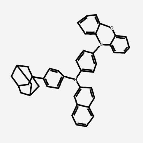 c1ccc2c(c1)Oc1ccccc1N2c1ccc(N(c2ccc(C34CC5CC(CC(C5)C3)C4)cc2)c2ccc3ccccc3c2)cc1